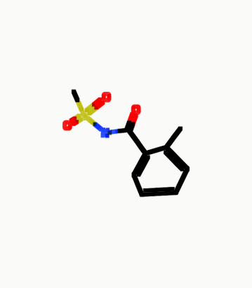 Cc1ccccc1C(=O)[N]S(C)(=O)=O